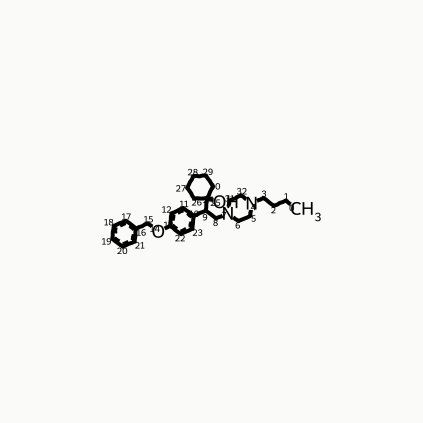 CCCCN1CCN(CC(c2ccc(OCc3ccccc3)cc2)C2(O)CCCCC2)CC1